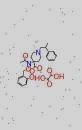 COC(=O)C1(N(OCc2ccccc2OC)C(C)=O)CCN(CC(C)c2ccccc2)CC1.O=C(O)C(=O)O